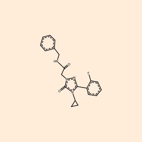 O=C(Cn1nc(-c2ccccc2F)n(C2CC2)c1=O)NCc1ccccc1